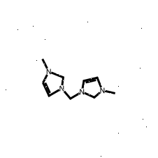 CN1C=CN(CN2C=CN(C)C2)C1